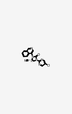 N#C[C@H]1CN(c2ncc(Cl)cn2)C(=O)N1c1cncc2ccccc12